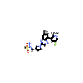 COc1ncc(F)cc1-c1cc(C(C)(C)C)cc2nc(N3CC[C@H](CNS(C)(=O)=O)C3)cnc12